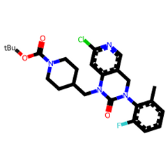 Cc1cccc(F)c1N1Cc2cnc(Cl)cc2N(CC2CCN(C(=O)OC(C)(C)C)CC2)C1=O